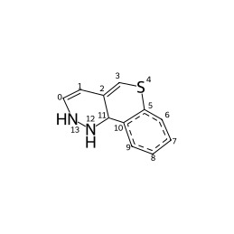 C1=CC2=CSc3ccccc3C2NN1